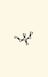 CC[O][Ge]([CH2]C)([CH2]C)[O]CC